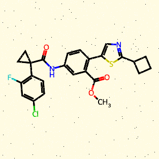 COC(=O)c1cc(NC(=O)C2(c3ccc(Cl)cc3F)CC2)ccc1-c1cnc(C2CCC2)s1